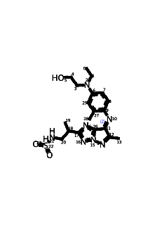 CCN(CCO)c1ccc(/N=C2/C(C)=Nn3nc(C(C)CN[SH](=O)=O)nc32)c(C)c1